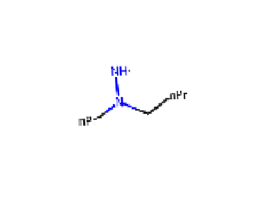 CCCCN([NH])CCC